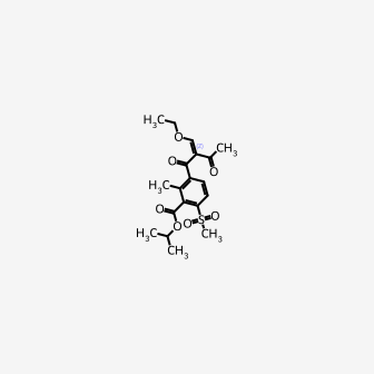 CCO/C=C(/C(C)=O)C(=O)c1ccc(S(C)(=O)=O)c(C(=O)OC(C)C)c1C